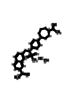 CC(=N)N1CCCN(c2ccc(N(Cc3ccc4ccc(C(=N)N)cc4c3)S(C)(=O)=O)cc2)CC1.Cl.Cl